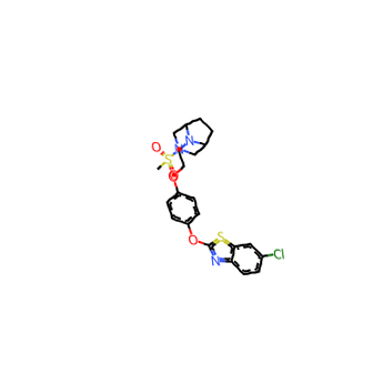 CS(=O)(=O)N1CC2CCC(C1)N2CCOc1ccc(Oc2nc3ccc(Cl)cc3s2)cc1